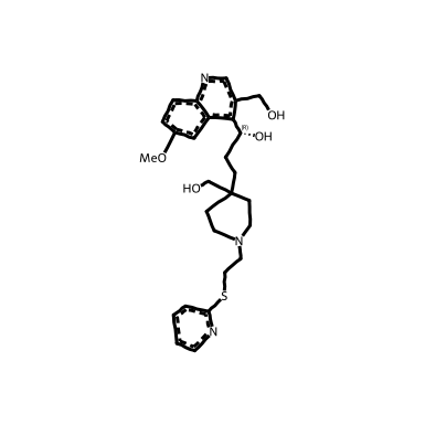 COc1ccc2ncc(CO)c([C@H](O)CCC3(CO)CCN(CCSc4ccccn4)CC3)c2c1